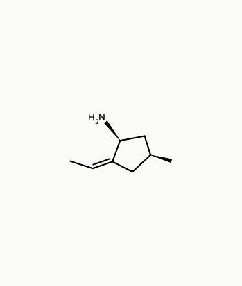 C/C=C1/C[C@H](C)C[C@@H]1N